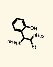 CCCCCCCC(c1ccccc1O)C(CC)CCCCCC